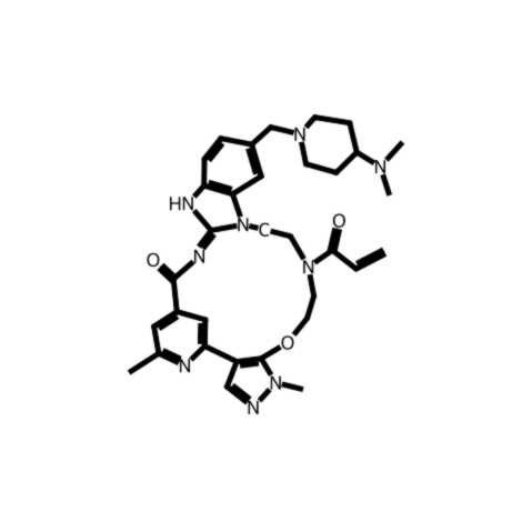 C=CC(=O)N1CCOc2c(cnn2C)-c2cc(cc(C)n2)C(=O)/N=C2\Nc3ccc(CN4CCC(N(C)C)CC4)cc3N2CC1